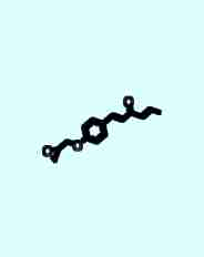 CC=CC(=O)C=Cc1ccc(OCC2CO2)cc1